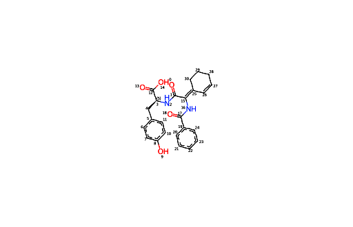 O=C(N[C@@H](Cc1ccc(O)cc1)C(=O)O)C(NC(=O)c1ccccc1)=C1C=CCCC1